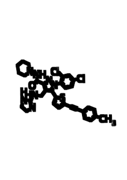 Cc1ccc(C#Cc2ccc(-c3c(CNC4=NCCN4)c(C(=O)NN4CCCCC4)nn3-c3ccc(Cl)cc3Cl)s2)cc1